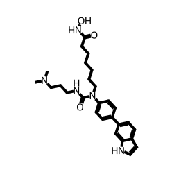 CN(C)CCCNC(=O)N(CCCCCCC(=O)NO)c1ccc(-c2ccc3cc[nH]c3c2)cc1